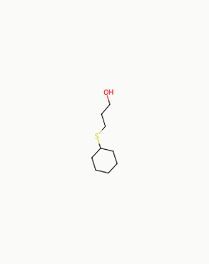 OCCCSC1CCCCC1